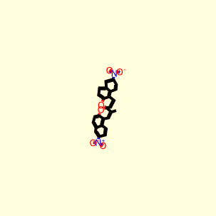 CC1=Cc2c(ccc3cc([N+](=O)[O-])ccc23)OC12C=Cc1c(ccc3cc([N+](=O)[O-])ccc13)O2